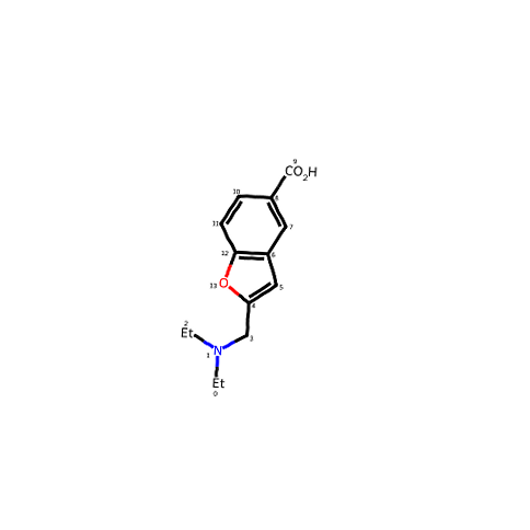 CCN(CC)Cc1cc2cc(C(=O)O)ccc2o1